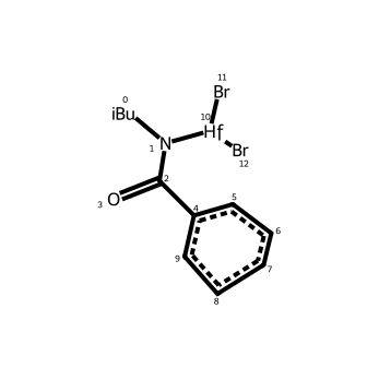 CCC(C)[N](C(=O)c1ccccc1)[Hf]([Br])[Br]